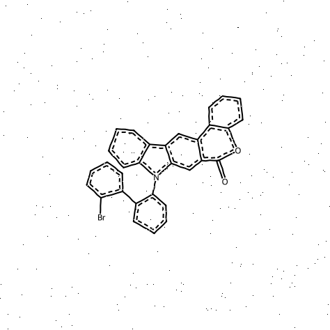 O=c1oc2ccccc2c2cc3c4ccccc4n(-c4ccccc4-c4ccccc4Br)c3cc12